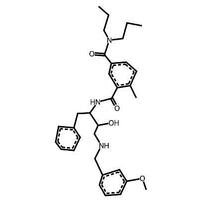 CCCN(CCC)C(=O)c1ccc(C)c(C(=O)NC(Cc2ccccc2)C(O)CNCc2cccc(OC)c2)c1